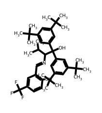 CC(C)C(N=Cc1cc(C(F)(F)F)ccc1O)C(O)(c1cc(C(C)(C)C)cc(C(C)(C)C)c1)c1cc(C(C)(C)C)cc(C(C)(C)C)c1